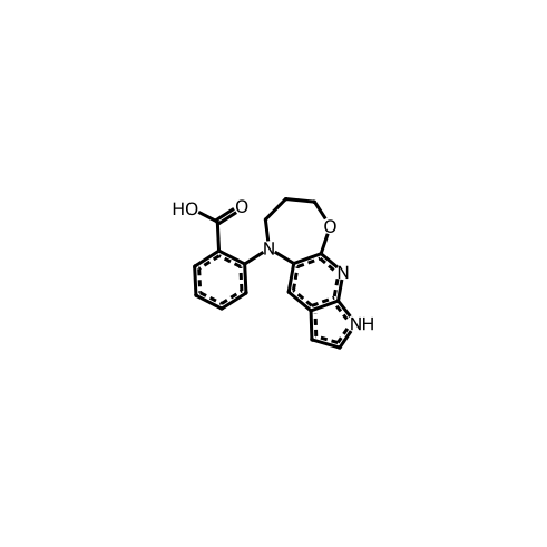 O=C(O)c1ccccc1N1CCCOc2nc3[nH]ccc3cc21